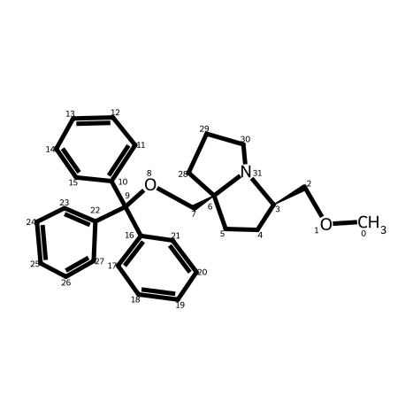 COC[C@H]1CC[C@]2(COC(c3ccccc3)(c3ccccc3)c3ccccc3)CCCN12